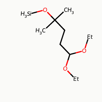 CCOC(CCC(C)(C)O[SiH3])OCC